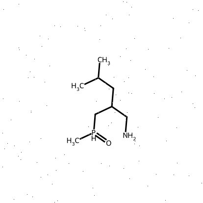 CC(C)CC(CN)C[PH](C)=O